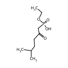 CCOP(=O)(O)CC(=O)CCC(C)C